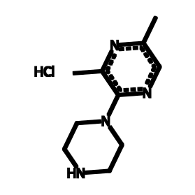 Cc1cnc(N2CCNCC2)c(C)n1.Cl